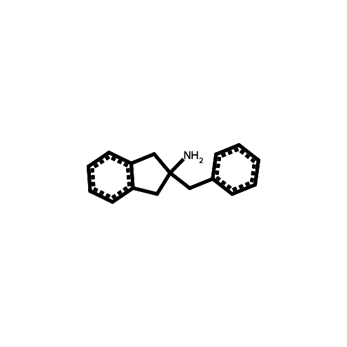 NC1(Cc2ccccc2)Cc2ccccc2C1